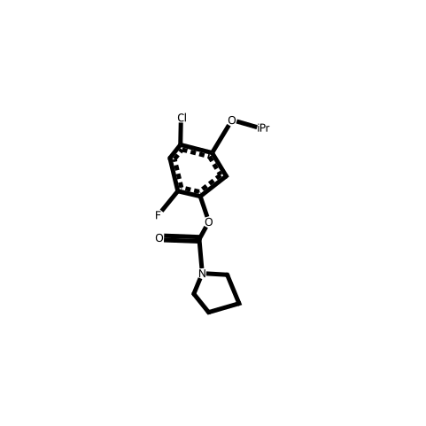 CC(C)Oc1cc(OC(=O)N2CCCC2)c(F)cc1Cl